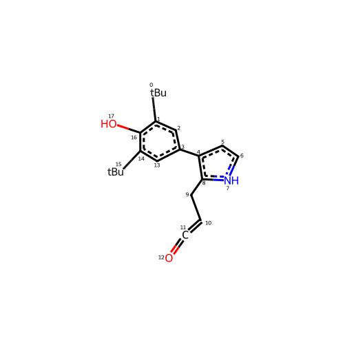 CC(C)(C)c1cc(-c2cc[nH]c2CC=C=O)cc(C(C)(C)C)c1O